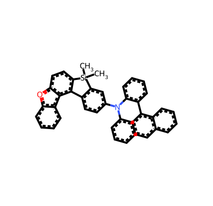 C[Si]1(C)c2cc(N(c3ccccc3)c3ccccc3-c3cccc4ccccc34)ccc2-c2c1ccc1oc3ccccc3c21